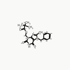 Cc1nc2c(c(=O)[nH]c(=O)n2COC(=O)C(C)(C)C)n1Cc1ccccc1